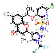 Cc1cc([C@@H](C)Oc2ccc(Cl)nc2S(N)(=O)=O)c2oc(-c3cnn(C(F)F)c3)c(C)c(=O)c2c1